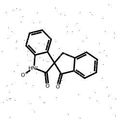 O=C1c2ccccc2CC12C(=O)[NH+]([O-])c1ccccc12